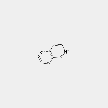 [c]1ccc2c(c1)C=[N+]C=C2